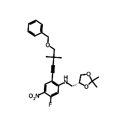 CC(C)(C#Cc1cc([N+](=O)[O-])c(F)cc1NC[C@@H]1COC(C)(C)O1)COCc1ccccc1